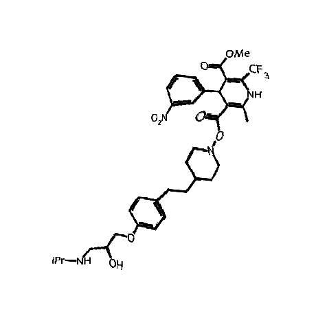 COC(=O)C1=C(C(F)(F)F)NC(C)=C(C(=O)ON2CCC(CCc3ccc(OCC(O)CNC(C)C)cc3)CC2)C1c1cccc([N+](=O)[O-])c1